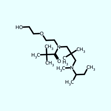 CCC(C)N(C)CC(C)(C)CN(CCOCCO)C(=O)C(C)(C)C